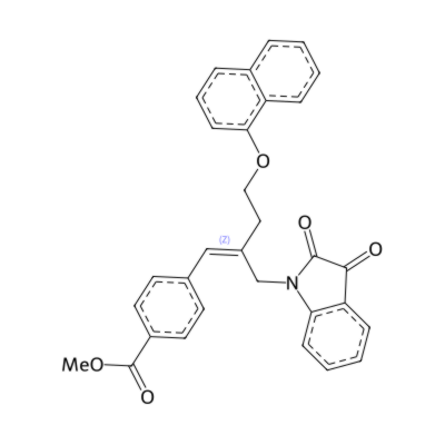 COC(=O)c1ccc(/C=C(/CCOc2cccc3ccccc23)CN2C(=O)C(=O)c3ccccc32)cc1